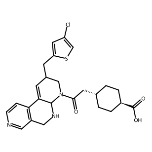 O=C(C[C@H]1CC[C@H](C(=O)O)CC1)N1CC(Cc2cc(Cl)cs2)C=C2c3ccncc3CNC21